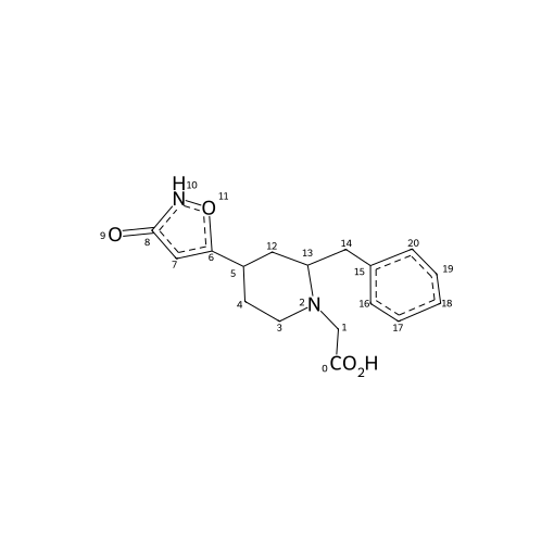 O=C(O)CN1CCC(c2cc(=O)[nH]o2)CC1Cc1ccccc1